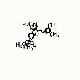 Cc1cc(C)cc(CCC(=O)c2cnc(C)nc2C2CCN(C(=O)OC(C)(C)C)CC2)c1